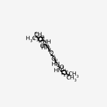 CC(C)c1ccc(NC(=O)CNCCOCCOCCNCC(=O)Nc2ccc(C(C)C)cc2)cc1